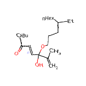 C=C(C)C(O)(/C=C/C(=O)OCC(C)C)OCCCC(CC)CCCCCC